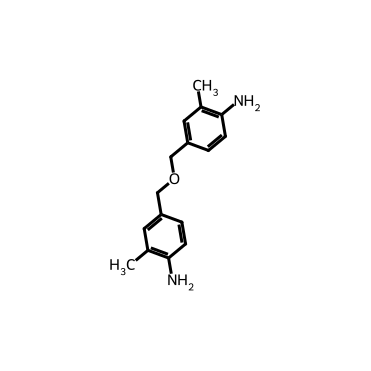 Cc1cc(COCc2ccc(N)c(C)c2)ccc1N